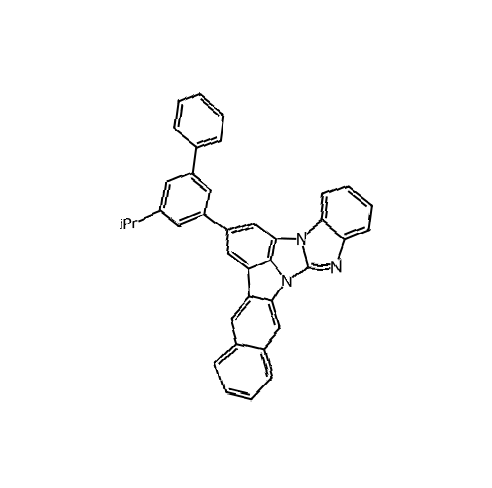 CC(C)c1cc(-c2ccccc2)cc(-c2cc3c4cc5ccccc5cc4n4c3c(c2)n2c3ccccc3nc24)c1